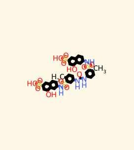 Cc1ccc(NC(=O)Nc2ccc(C)c(S(=O)(=O)Nc3ccc4cc(S(=O)(=O)O)cc(O)c4c3)c2)cc1S(=O)(=O)Nc1ccc2cc(S(=O)(=O)O)cc(O)c2c1